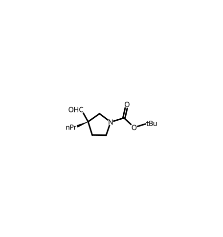 CCC[C@]1(C=O)CCN(C(=O)OC(C)(C)C)C1